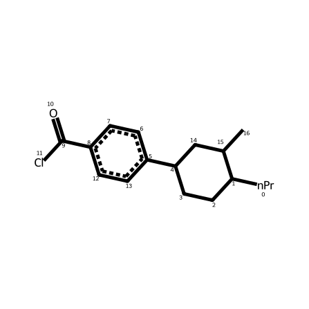 CCCC1CCC(c2ccc(C(=O)Cl)cc2)CC1C